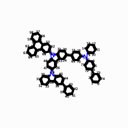 c1ccc(-c2ccc(N(c3ccccc3)c3ccc(-c4ccc5c(c4)c4cc(-n6c7ccccc7c7cc(-c8ccccc8)ccc76)ccc4n5-c4ccc5c6ccccc6c6ccccc6c5c4)cc3)cc2)cc1